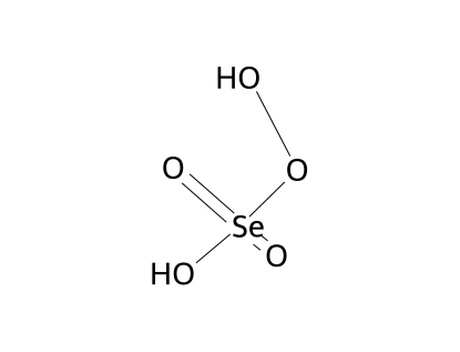 O=[Se](=O)(O)OO